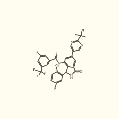 CC(C)(O)c1ncc(-c2cc(NC(=O)c3cc(F)cc(C(F)(F)F)c3)c3c(c2)C(=O)NC3c2cc(F)ccc2Cl)cn1